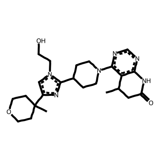 CC1CC(=O)Nc2ncnc(N3CCC(c4nc(C5(C)CCOCC5)cn4CCO)CC3)c21